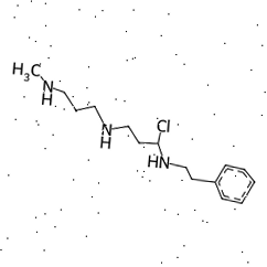 CNCCCNCCC(Cl)NCCc1ccccc1